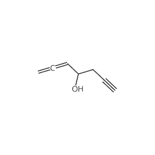 C#CCC(O)C=C=C